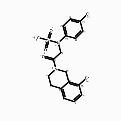 CS(=O)(=O)N(CC(=O)N1CCc2cccc(Br)c2C1)c1ccc(Cl)cc1